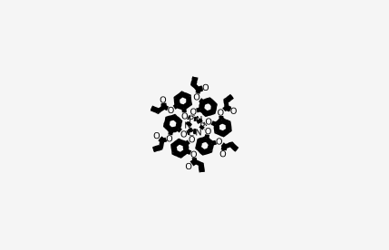 C=CC(=O)Oc1ccccc1OP1(Oc2ccccc2OC(=O)C=C)=NP(Oc2ccccc2OC(=O)C=C)(Oc2ccccc2OC(=O)C=C)=NP(Oc2ccccc2OC(=O)C=C)(Oc2ccccc2OC(=O)C=C)=N1